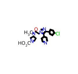 CN(C(=O)Cn1cnc(-c2ccc(Cl)cc2)c1-c1ccncc1)[C@@H]1CCN(C(=O)O)C1